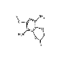 COc1cc(N)c2c(c1N)OC(C)CO2